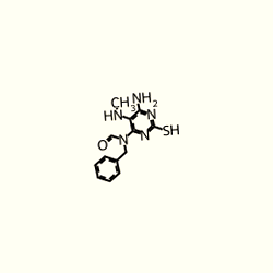 CNc1c(N)nc(S)nc1N(C=O)Cc1ccccc1